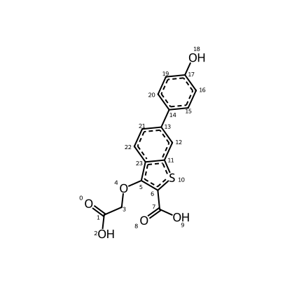 O=C(O)COc1c(C(=O)O)sc2cc(-c3ccc(O)cc3)ccc12